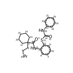 CC(C)CCC1(C(=O)Nc2ccccc2SC(=O)Nc2ccccc2)CCCCC1